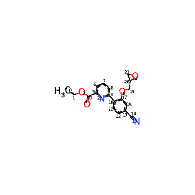 CCOC(=O)c1cccc(-c2ccc(C#N)cc2OCC2CO2)n1